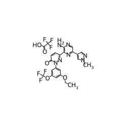 CCOc1cc(OC(F)(F)F)cc(-n2nc(-c3nc(-c4cnn(C)c4)cnc3N)ccc2=O)c1.O=C(O)C(F)(F)F